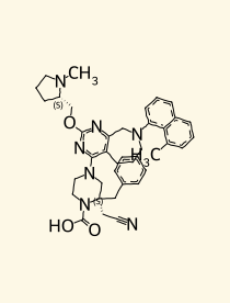 Cc1cccc2cccc(N3CCCc4c(nc(OC[C@@H]5CCCN5C)nc4N4CCN(C(=O)O)[C@](CC#N)(Cc5ccccc5)C4)C3)c12